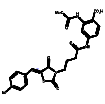 CCc1ccc(/C=C2\SC(=O)N(CCCC(=O)Nc3ccc(C(=O)O)c(NC(=O)OC)c3)C2=O)cc1